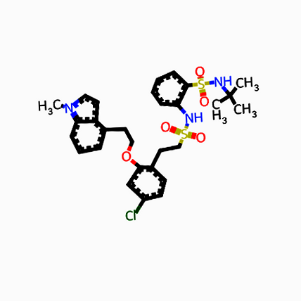 Cn1ccc2c(CCOc3cc(Cl)ccc3CCS(=O)(=O)Nc3ccccc3S(=O)(=O)NC(C)(C)C)cccc21